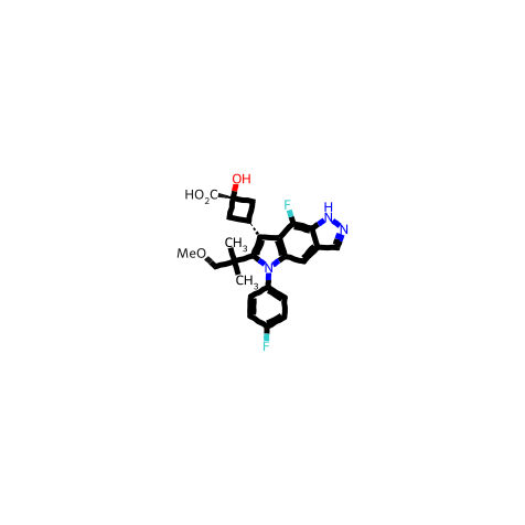 COCC(C)(C)c1c([C@H]2C[C@](O)(C(=O)O)C2)c2c(F)c3[nH]ncc3cc2n1-c1ccc(F)cc1